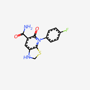 NC(=O)c1cc2c(n(-c3ccc(F)cc3)c1=O)SCN2